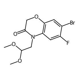 COC(CN1C(=O)COc2cc(Br)c(F)cc21)OC